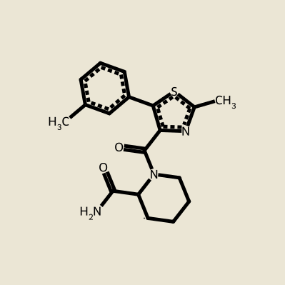 Cc1cccc(-c2sc(C)nc2C(=O)N2CCC[CH]C2C(N)=O)c1